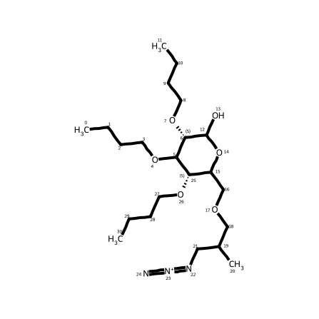 CCCCOC1[C@H](OCCCC)C(O)OC(COCC(C)CN=[N+]=[N-])[C@@H]1OCCCC